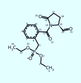 CCOP(=O)(Cc1ccccc1C(=O)N1C(=O)CC[C@H]1C=O)OCC